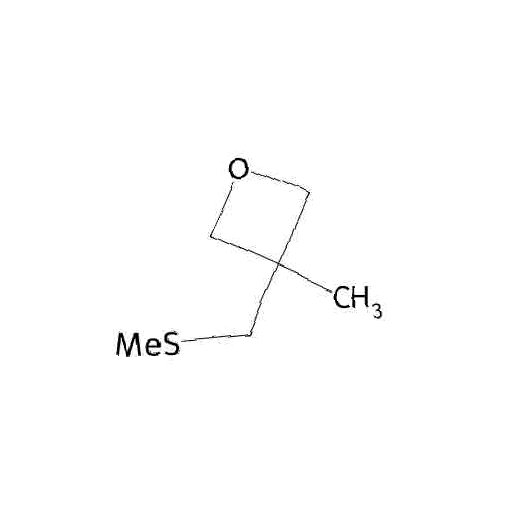 CSCC1(C)COC1